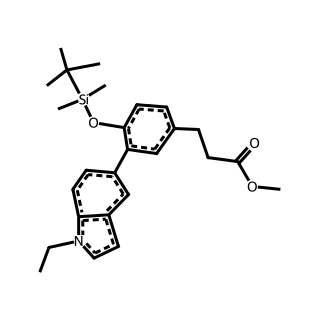 CCn1ccc2cc(-c3cc(CCC(=O)OC)ccc3O[Si](C)(C)C(C)(C)C)ccc21